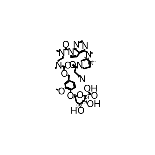 COc1cc(COC(=O)N(C)CCN(C)C(=O)n2ccc3c(N(C)[C@H]4CN(C(=O)CC#N)CC[C@H]4C)ncnc32)ccc1O[C@H]1C[C@@H](O)[C@H](O)[C@@H](C(=O)O)O1